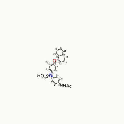 CC(=O)Nc1ccc(N(c2ccc(Oc3cccc4ccccc34)c(C)c2)S(=O)(=O)O)cc1